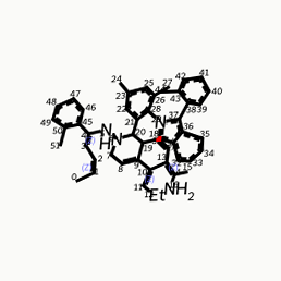 C/C=C\C=C(/NN1CC=C2C(=C/CC)/C(=C(/C)N)C=CC2C1c1cc(C)cc(C)c1-n1cc2ccccc2c1-c1ccccc1C)c1ccccc1C